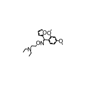 CCN(CC)CCON=C(c1ccco1)c1ccc(OC)cc1OC